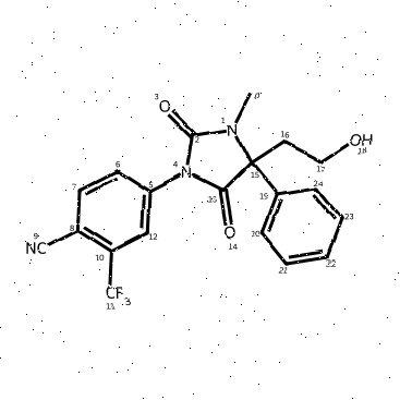 CN1C(=O)N(c2ccc(C#N)c(C(F)(F)F)c2)C(=O)C1(CCO)c1ccccc1